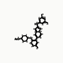 CC(=O)OC1CCC(Oc2nnc(C)cc2-c2ccn3nc(Nc4cc(C)nc(C)n4)cc3c2)CC1